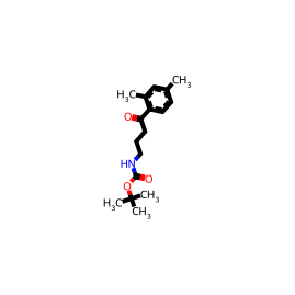 Cc1ccc(C(=O)CCCNC(=O)OC(C)(C)C)c(C)c1